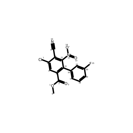 COC(=O)c1cc(Cl)c(C#N)c([N+](=O)[O-])c1-c1cccc(F)c1